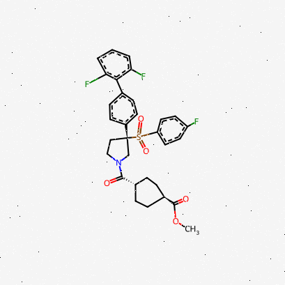 COC(=O)[C@H]1CC[C@H](C(=O)N2CC[C@](c3ccc(-c4c(F)cccc4F)cc3)(S(=O)(=O)c3ccc(F)cc3)C2)CC1